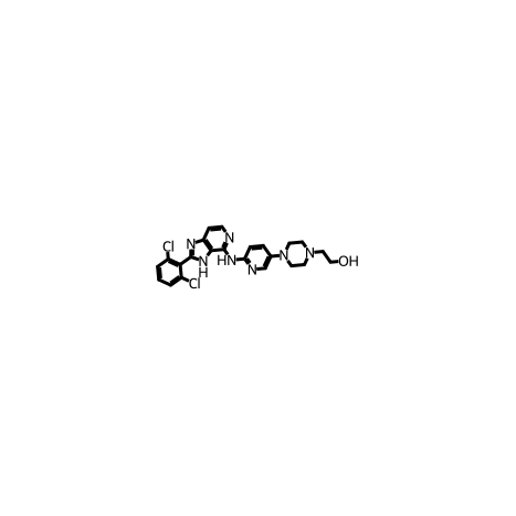 OCCN1CCN(c2ccc(Nc3nccc4nc(-c5c(Cl)cccc5Cl)[nH]c34)nc2)CC1